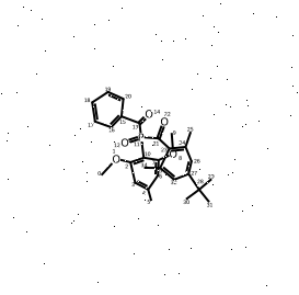 COc1cc(C)cc(OC)c1P(=O)(C(=O)c1ccccc1)C(=O)c1c(C)cc(C(C)(C)C)cc1C